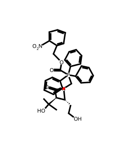 CC(C)(O)[C@H]1C(=O)N(CP(C(=O)OCc2ccccc2[N+](=O)[O-])(c2ccccc2)(c2ccccc2)c2ccccc2)[C@@H]1CCO